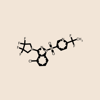 CC(F)(F)c1ccc(S(=O)(=O)n2nc(N3CC(F)(F)C(F)(F)C3)c3c(Cl)cccc32)cn1